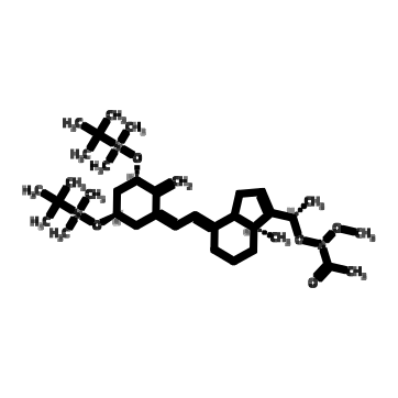 C=C1C(=CC=C2CCC[C@]3(C)C([C@H](C)ON(OC)C(C)=O)=CCC23)C[C@@H](O[Si](C)(C)C(C)(C)C)C[C@@H]1O[Si](C)(C)C(C)(C)C